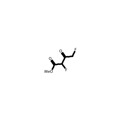 COC(=O)C(F)C(=O)CF